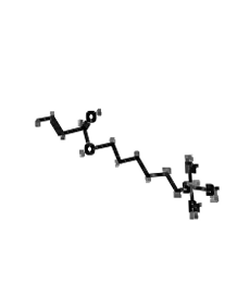 CC=CC(=O)OCCCCCC[Si](Br)(Br)Br